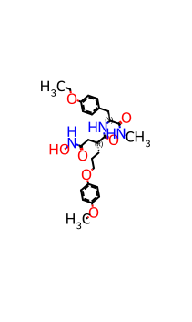 CCOc1ccc(C[C@H](NC(=O)[C@H](CCCOc2ccc(OC)cc2)CC(=O)NO)C(=O)NC)cc1